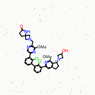 COc1nc(-c2cccc(-c3cccc(-c4cc5c(c(OC)n4)[C@@H](N4CC(O)C4)CC5)c3Cl)c2Cl)cnc1CN1CC2(CCC(=O)N2)C1